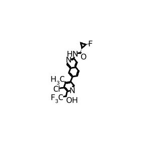 Cc1c(-c2ccc3cc(NC(=O)[C@@H]4C[C@@H]4F)ncc3c2)cnc(C(O)C(F)(F)F)c1Cl